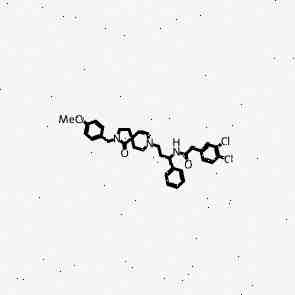 COc1ccc(CN2CCC3(CCN(CCC(NC(=O)Cc4ccc(Cl)c(Cl)c4)c4ccccc4)CC3)C2=O)cc1